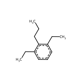 CCCc1c(CC)cccc1CC